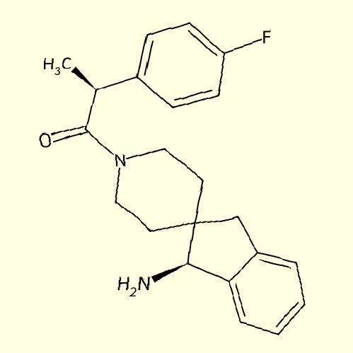 C[C@H](C(=O)N1CCC2(CC1)Cc1ccccc1[C@H]2N)c1ccc(F)cc1